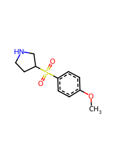 COc1ccc(S(=O)(=O)C2CCNC2)cc1